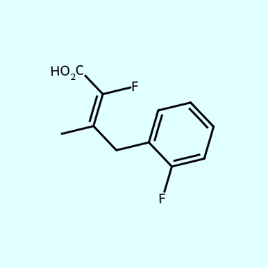 CC(Cc1ccccc1F)=C(F)C(=O)O